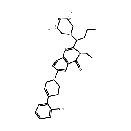 CCCC(c1nc2ccc(N3CC=C(c4ccccc4O)CC3)cc2c(=O)n1CC)N1C[C@@H](C)N[C@@H](C)C1